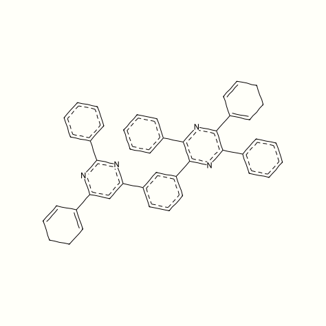 C1=CC(c2cc(-c3cccc(-c4nc(-c5ccccc5)c(C5=CCCC=C5)nc4-c4ccccc4)c3)nc(-c3ccccc3)n2)=CCC1